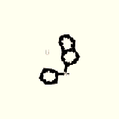 [Li].c1ccc(Pc2ccc3ccccc3c2)cc1